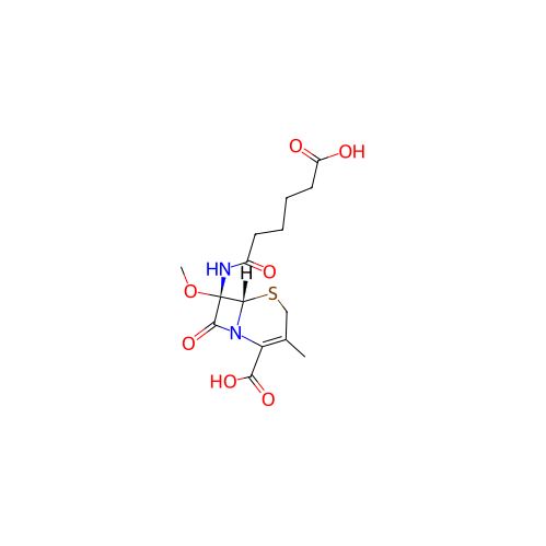 CO[C@@]1(NC(=O)CCCCC(=O)O)C(=O)N2C(C(=O)O)=C(C)CS[C@H]21